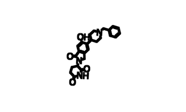 O=C1CCC(N2Cc3cc(C4CCN(Cc5ccccc5)CC4)c(O)cc3C2=O)C(=O)N1